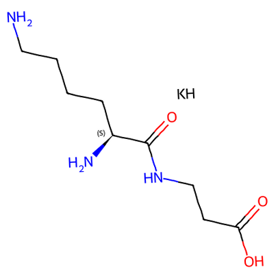 NCCCC[C@H](N)C(=O)NCCC(=O)O.[KH]